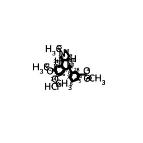 COC(=O)c1cccc(C2=N[C@@H]3CCN(C)C[C@@H]3c3cc(OC)c(OC)cc32)c1.Cl